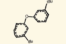 CC(C)(C)c1cccc(Oc2cccc(C(C)(C)C)c2)c1